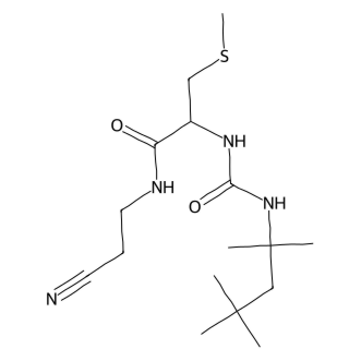 CSCC(NC(=O)NC(C)(C)CC(C)(C)C)C(=O)NCCC#N